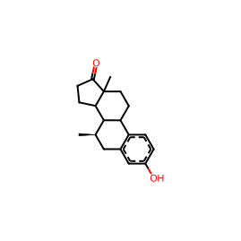 C[C@@H]1Cc2cc(O)ccc2C2CCC3(C)C(=O)CCC3C21